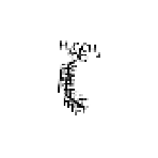 CC(C)C(=O)OCCC(F)(F)C(F)(F)C(F)(F)C(F)(F)C(F)(F)CC(F)(F)C(F)(F)C(F)(F)C(F)(F)F